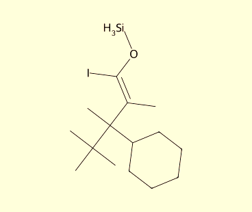 CC(=C(I)O[SiH3])C(C)(C1CCCCC1)C(C)(C)C